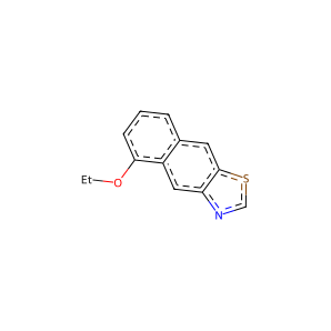 CCOc1cccc2cc3scnc3cc12